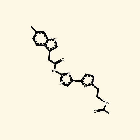 CC(=O)NCCc1ccc(-c2csc(NC(=O)Cc3coc4cc(C)ccc34)n2)s1